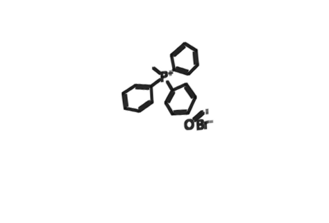 C[P+](c1ccccc1)(c1ccccc1)c1ccccc1.[Br-].[C]=O